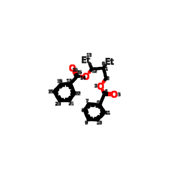 CCC(COC(=O)c1ccccc1)C(CC)OC(=O)c1ccccc1